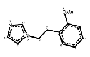 COc1ccccc1CCn1ccnc1